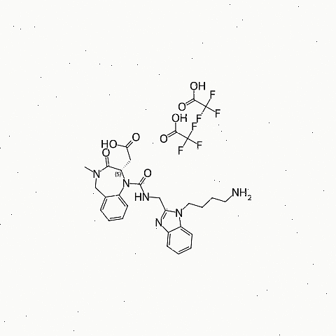 CN1Cc2ccccc2N(C(=O)NCc2nc3ccccc3n2CCCCN)[C@@H](CC(=O)O)C1=O.O=C(O)C(F)(F)F.O=C(O)C(F)(F)F